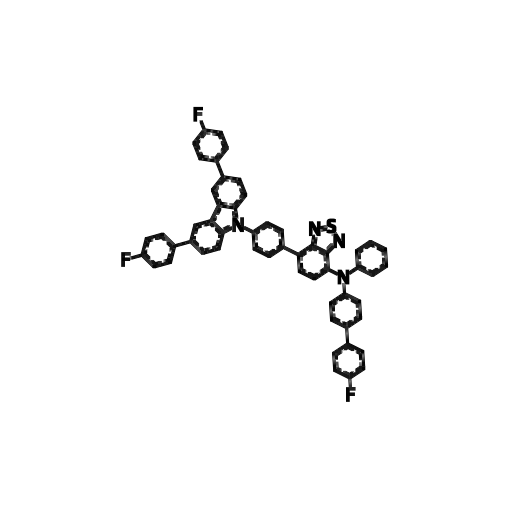 Fc1ccc(-c2ccc(N(c3ccccc3)c3ccc(-c4ccc(-n5c6ccc(-c7ccc(F)cc7)cc6c6cc(-c7ccc(F)cc7)ccc65)cc4)c4nsnc34)cc2)cc1